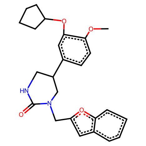 COc1ccc(C2CNC(=O)N(Cc3cc4ccccc4o3)C2)cc1OC1CCCC1